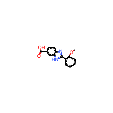 COc1ccccc1-c1nc2ccc(C(=O)O)cc2[nH]1